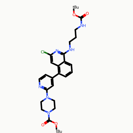 CC(C)(C)OC(=O)NCCCNc1nc(Cl)cc2c(-c3ccnc(N4CCN(C(=O)OC(C)(C)C)CC4)c3)cccc12